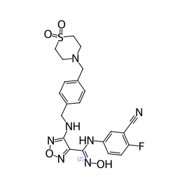 N#Cc1cc(N/C(=N\O)c2nonc2NCc2ccc(CN3CCS(=O)(=O)CC3)cc2)ccc1F